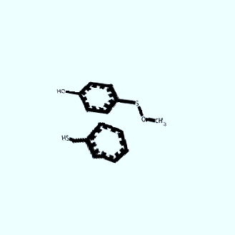 COSc1ccc(O)cc1.Sc1ccccc1